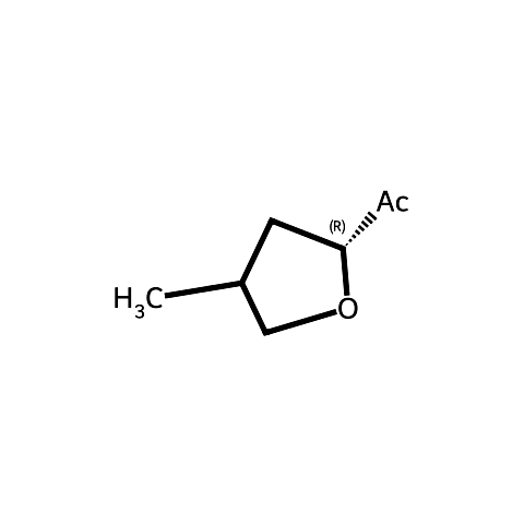 CC(=O)[C@H]1CC(C)CO1